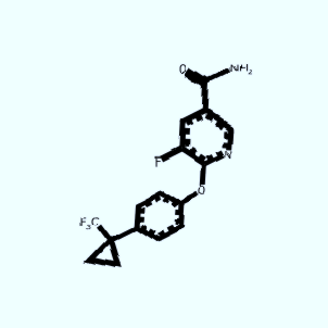 NC(=O)c1cnc(Oc2ccc(C3(C(F)(F)F)CC3)cc2)c(F)c1